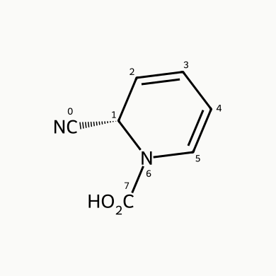 N#C[C@@H]1C=CC=CN1C(=O)O